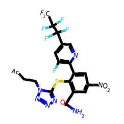 CC(=O)CCn1nnnc1Sc1c(C(N)=O)cc([N+](=O)[O-])cc1-c1ncc(C(F)(F)C(F)(F)C(F)(F)F)cc1F